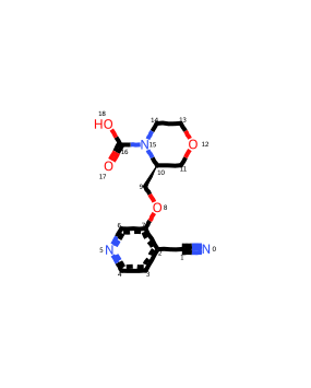 N#Cc1ccncc1OC[C@@H]1COCCN1C(=O)O